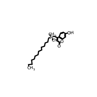 CCCCCCCCCCCCCC[N+](C)(C)Cc1cc(=O)oc2cc(O)ccc12